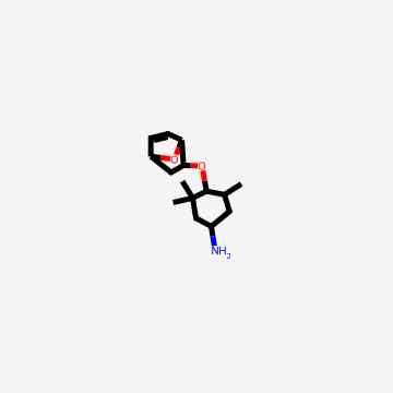 CC1CC(N)CC(C)(C)C1OC1CC2C=CC1O2